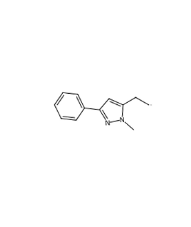 [CH2]Cc1cc(-c2ccccc2)nn1C